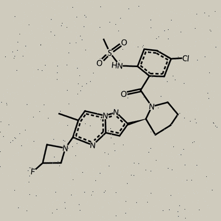 Cc1cn2nc([C@@H]3CCCCN3C(=O)c3cc(Cl)ccc3NS(C)(=O)=O)cc2nc1N1CC(F)C1